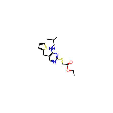 CCOC(=O)CSc1ncc(Cc2cccs2)c(NCC(C)C)n1